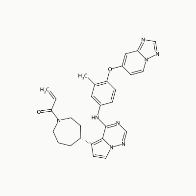 C=CC(=O)N1CCC[C@@H](c2ccn3ncnc(Nc4ccc(Oc5ccn6ncnc6c5)c(C)c4)c23)CC1